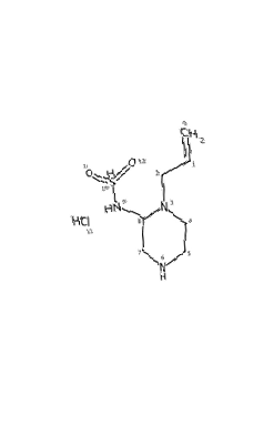 C=CCN1CCNCC1N[SH](=O)=O.Cl